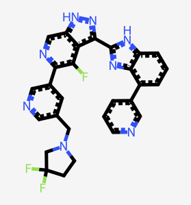 Fc1c(-c2cncc(CN3CCC(F)(F)C3)c2)ncc2[nH]nc(-c3nc4c(-c5cccnc5)cccc4[nH]3)c12